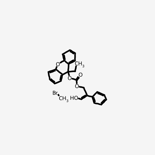 CBr.CCC1(OC(=O)OCC(=CO)c2ccccc2)c2ccccc2Oc2ccccc21